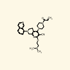 C=CC(=O)N1CCN(c2c(C#N)c(OCCN(C)C)nc3c2CCN(c2cccc4ccncc24)C3)CC1